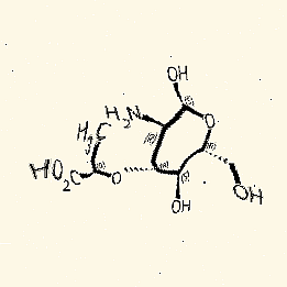 C[C@@H](O[C@@H]1[C@@H](N)[C@@H](O)O[C@H](CO)[C@H]1O)C(=O)O